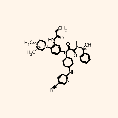 C=CC(=O)Nc1cc(N(C(=O)C(=O)N[C@H](C)c2ccccc2)C2CCC(Nc3ccc(C#N)cn3)CC2)ccc1N1CCN(C)[C@@H](C)C1